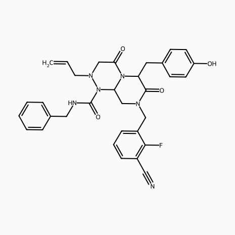 C=CCN1CC(=O)N2C(Cc3ccc(O)cc3)C(=O)N(Cc3cccc(C#N)c3F)CC2N1C(=O)NCc1ccccc1